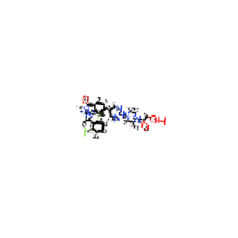 CC1CN(c2ncc(-c3ccc4c(=O)n(C)n(C(C)c5c(F)cccc5F)c4c3)cn2)CCN1C(=O)CO